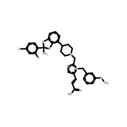 COc1cccc(Cn2c(/C=C/C(=O)O)cnc2CN2CCC(c3cccc4c3OC(C)(c3ccc(Cl)cc3F)O4)CC2)c1